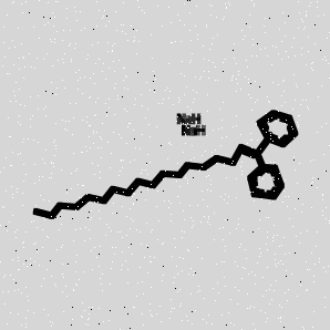 CCCCCCCCCCCCCCCCC=C(c1ccccc1)c1ccccc1.[NaH].[NaH]